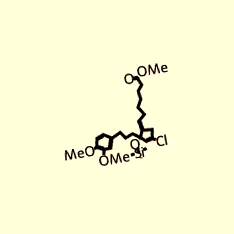 COC(=O)CCCCC/C=C1\CC(Cl)=CC1(CCCc1ccc(OC)c(OC)c1)O[Si](C)(C)C